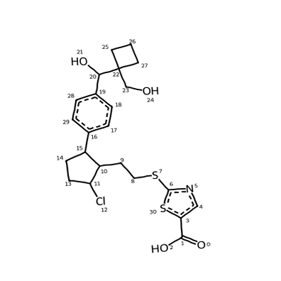 O=C(O)c1cnc(SCCC2C(Cl)CCC2c2ccc(C(O)C3(CO)CCC3)cc2)s1